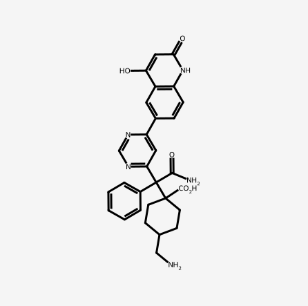 NCC1CCC(C(=O)O)(C(C(N)=O)(c2ccccc2)c2cc(-c3ccc4[nH]c(=O)cc(O)c4c3)ncn2)CC1